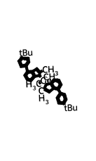 CC1=Cc2c(-c3ccc(C(C)(C)C)cc3)cccc2[CH]1[Ge]([CH3])([CH3])[CH]1C(C)=Cc2c(-c3ccc(C(C)(C)C)cc3)cccc21